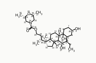 CC[C@@H]1C2C[C@H](O)CCC2(C)[C@H]2CC[C@]3(C)[C@@H]([C@H](C)CCOC(=O)N4C[C@@H](C)O[C@@H](C)C4)CC[C@H]3C2[C@@H]1O